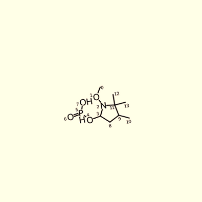 CON1C(O[PH](=O)O)CC(C)C1(C)C